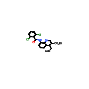 CCOC(=O)c1cnc2c(NC(=O)c3c(Cl)cccc3Cl)cccc2c1COC(C)=O